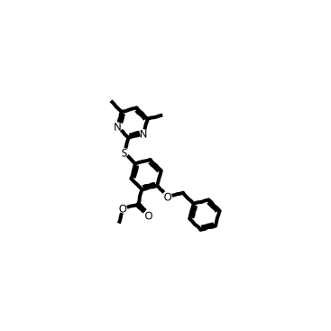 COC(=O)c1cc(Sc2nc(C)cc(C)n2)ccc1OCc1ccccc1